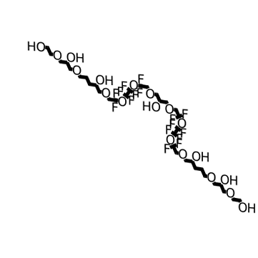 OCCOCC(O)COCCCC(O)COCC(F)(F)OC(F)(F)C(F)(F)OC(F)(F)COCC(O)COCC(F)(F)OC(F)(F)C(F)(F)OC(F)(F)COCC(O)CCCOCC(O)COCCO